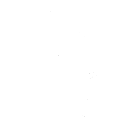 Cc1cc2nc(C#N)sc2c(C)c1O